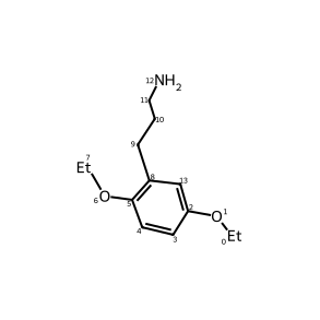 CCOc1ccc(OCC)c(CCCN)c1